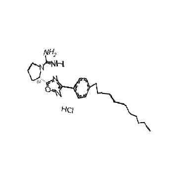 CCCCCCCCCCc1ccc(-c2noc([C@@H]3CCCN3C(=N)N)n2)cc1.Cl